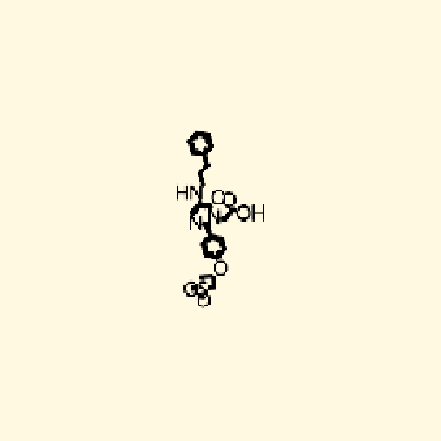 O=C(O)Cn1c(-c2ccc(OC3CS(=O)(=O)C3)cc2)ncc(NCCCc2ccccc2)c1=O